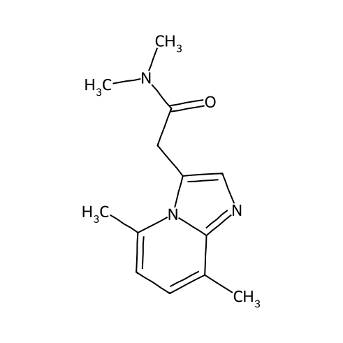 Cc1ccc(C)n2c(CC(=O)N(C)C)cnc12